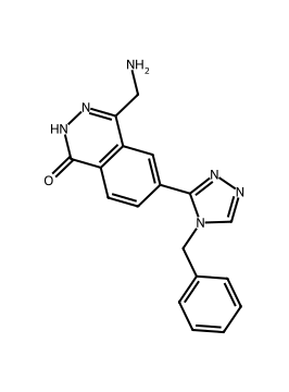 NCc1n[nH]c(=O)c2ccc(-c3nncn3Cc3ccccc3)cc12